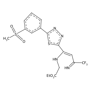 CCOC(=O)CN/C(=C\C(=N)C(F)(F)F)c1nnc(-c2cccc(S(C)(=O)=O)c2)s1